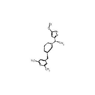 CCOc1cc([C@@H](C)N2CCC[C@H](Cc3cc(C)nc(C)c3)C2)n[nH]1